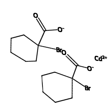 O=C([O-])C1(Br)CCCCC1.O=C([O-])C1(Br)CCCCC1.[Cd+2]